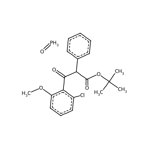 COc1cccc(Cl)c1C(=O)C(C(=O)OC(C)(C)C)c1ccccc1.O=[PH3]